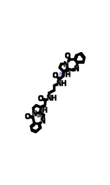 O=C(/C=C1\CCN2C(=O)c3ccccc3N=C[C@H]12)NCCCNC(=O)/C=C1\CCN2C(=O)c3ccccc3N=C[C@H]12